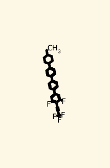 CCC1CCC(c2ccc(-c3ccc(-c4cc(F)c(C#CC(F)(F)F)c(F)c4)cc3)cc2)CC1